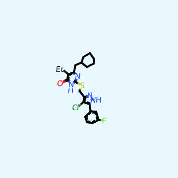 CCc1c(CC2CCCCC2)nc(SCc2n[nH]c(-c3cccc(F)c3)c2Cl)[nH]c1=O